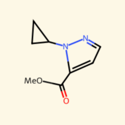 COC(=O)c1ccnn1C1CC1